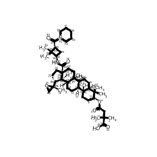 CC(C)(CC(=O)O[C@H]1CC[C@]2(C)[C@H]3CC[C@@H]4[C@H]5[C@H]([C@]6(C)CO6)CC[C@]5(C(=O)N[C@@H]5C[C@H](C(=O)N6CCCCC6)C5(C)C)CC[C@@]4(C)[C@]3(C)CC[C@H]2C1(C)C)C(=O)O